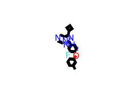 Cc1cccc(Oc2ccc(C3=NC(C4=CC=C4)=C4C=NC=C[N+]34N)cc2F)c1